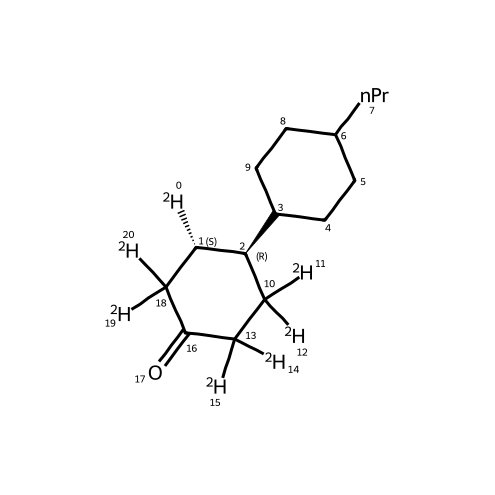 [2H][C@@H]1[C@@H](C2CCC(CCC)CC2)C([2H])([2H])C([2H])([2H])C(=O)C1([2H])[2H]